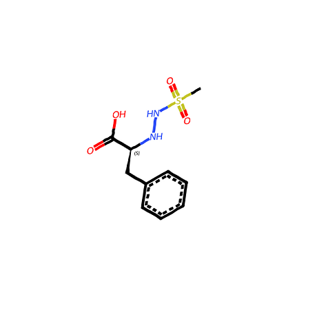 CS(=O)(=O)NN[C@@H](Cc1ccccc1)C(=O)O